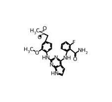 COc1cc(CS(C)(=O)=O)ccc1Nc1nc(Nc2cccc(F)c2C(N)=O)c2cc[nH]c2n1